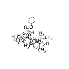 CC(C)C1=C2[C@H]3CC[C@@H]4[C@@]5(C)C(NC(=O)OC6CCCCC6)CCC(C)(C)[C@@H]5CC[C@@]4(C)[C@]3(C)CC[C@@]2(C)CC1=O